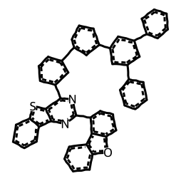 c1ccc(-c2cc(-c3ccccc3)cc(-c3cccc(-c4cccc(-c5nc(-c6cccc7oc8ccccc8c67)nc6c5sc5ccccc56)c4)c3)c2)cc1